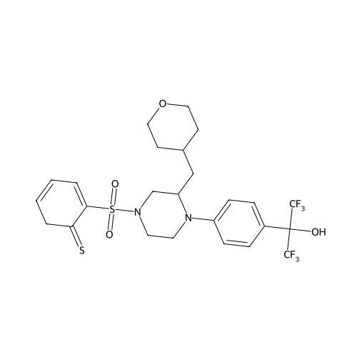 O=S(=O)(C1=CC=CCC1=S)N1CCN(c2ccc(C(O)(C(F)(F)F)C(F)(F)F)cc2)C(CC2CCOCC2)C1